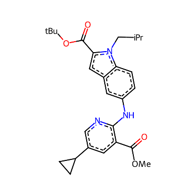 COC(=O)c1cc(C2CC2)cnc1Nc1ccc2c(c1)cc(C(=O)OC(C)(C)C)n2CC(C)C